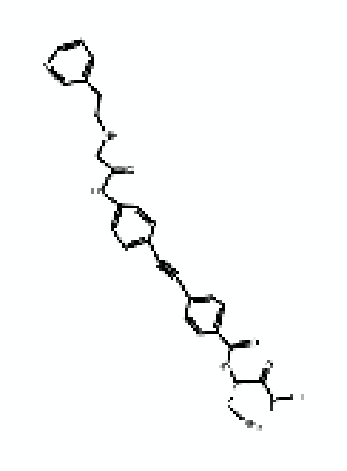 NC[C@H](NC(=O)c1ccc(C#Cc2ccc(NC(=O)CNCCc3cccnc3)cc2)cc1)C(=O)NO